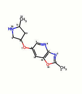 Cc1nc2ncc(OC3CNC(C)C3)cc2o1